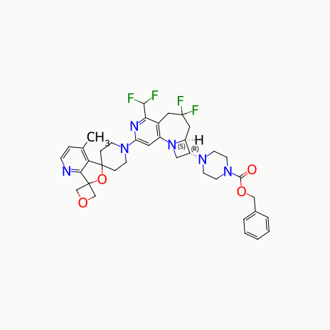 Cc1ccnc2c1C1(CCN(c3cc4c(c(C(F)F)n3)CC(F)(F)C[C@H]3[C@H](N5CCN(C(=O)OCc6ccccc6)CC5)CN43)CC1)OC21COC1